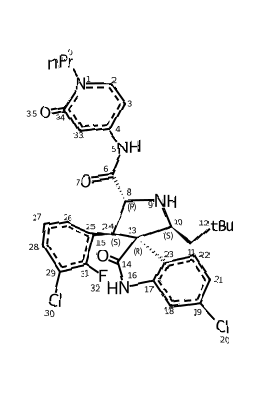 CCCn1ccc(NC(=O)[C@@H]2N[C@@H](CC(C)(C)C)[C@@]3(C(=O)Nc4cc(Cl)ccc43)[C@H]2c2cccc(Cl)c2F)cc1=O